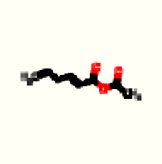 C=CC/C=C/C(=O)OC(C)=O